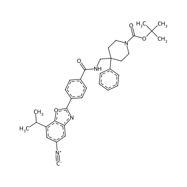 [C-]#[N+]c1cc(C(C)C)c2oc(-c3ccc(C(=O)NCC4(c5ccccc5)CCN(C(=O)OC(C)(C)C)CC4)cc3)nc2c1